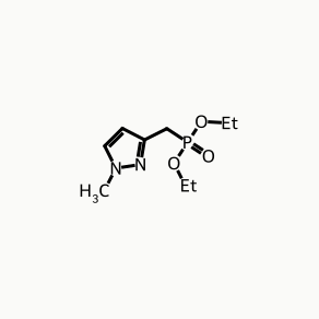 CCOP(=O)(Cc1ccn(C)n1)OCC